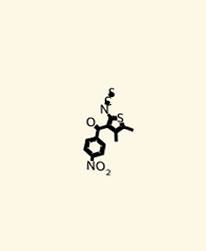 Cc1sc(N=C=S)c(C(=O)c2ccc([N+](=O)[O-])cc2)c1C